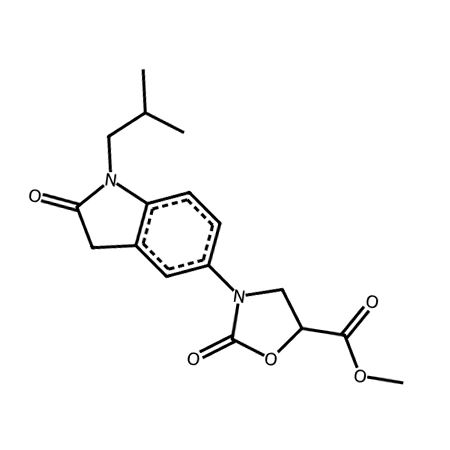 COC(=O)C1CN(c2ccc3c(c2)CC(=O)N3CC(C)C)C(=O)O1